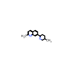 Cc1ccc2ccc(C3=NCC(C)CC3)cc2n1